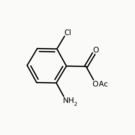 CC(=O)OC(=O)c1c(N)cccc1Cl